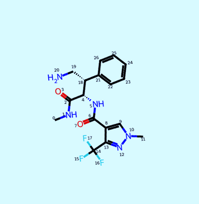 CNC(=O)[C@@H](NC(=O)c1cn(C)nc1C(F)(F)F)[C@H](CN)c1ccccc1